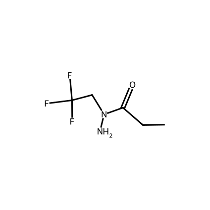 CCC(=O)N(N)CC(F)(F)F